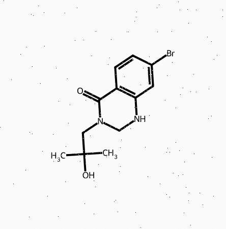 CC(C)(O)CN1CNc2cc(Br)ccc2C1=O